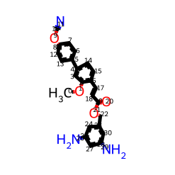 COc1cc(-c2ccc(OC#N)cc2)ccc1/C=C/C(=O)OCc1cc(N)cc(N)c1